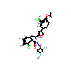 CCOc1ccc(-c2coc(-c3cc4cccc(Cl)c4c(=O)n3Cc3ccc(F)cc3F)c2)cc1Cl